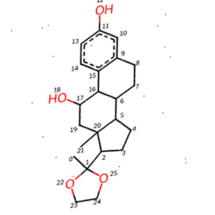 CC1(C2CCC3C4CCc5cc(O)ccc5C4C(O)CC32C)OCCO1